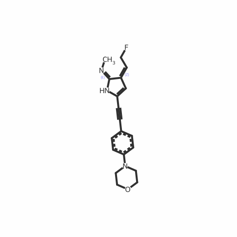 C/N=C1/NC(C#Cc2ccc(N3CCOCC3)cc2)=C/C1=C/CF